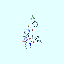 CC(C)(C)OC(=O)N1CCCC[C@H]1C(=O)N[C@@H]1CC[C@H]2CN(S(=O)(=O)c3cccc(C(F)(F)F)c3)C[C@H]21